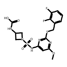 COc1cc(NS(=O)(=O)N2CC(NC(=O)O)C2)nc(SCc2cccc(F)c2F)n1